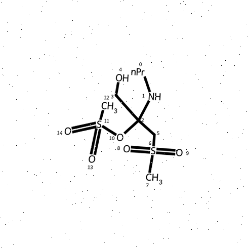 CCCNC(CO)(CS(C)(=O)=O)OS(C)(=O)=O